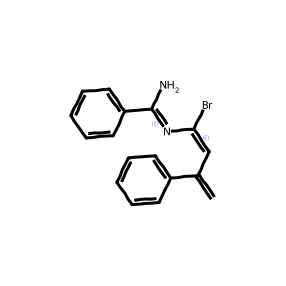 C=C(/C=C(Br)\N=C(/N)c1ccccc1)c1ccccc1